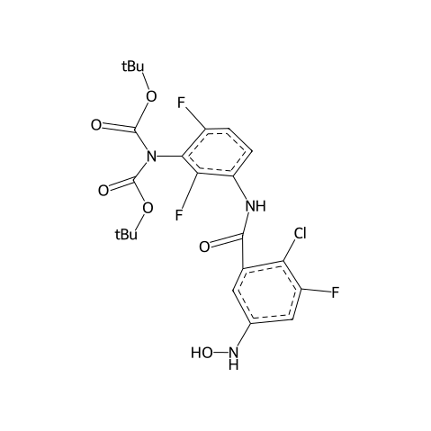 CC(C)(C)OC(=O)N(C(=O)OC(C)(C)C)c1c(F)ccc(NC(=O)c2cc(NO)cc(F)c2Cl)c1F